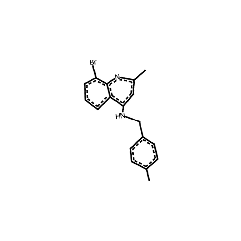 Cc1ccc(CNc2cc(C)nc3c(Br)cccc23)cc1